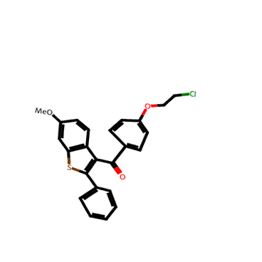 COc1ccc2c(C(=O)c3ccc(OCCCl)cc3)c(-c3ccccc3)sc2c1